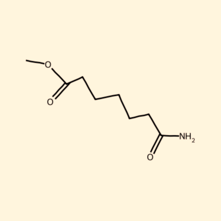 COC(=O)CCCCCC(N)=O